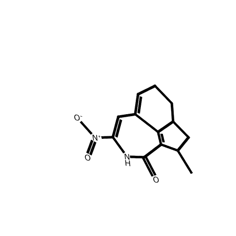 CC1CC2CCC=C3C=C([N+](=O)[O-])NC(=O)C1=C32